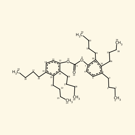 CCCCc1ccc(OC(=O)Oc2ccc(CCCC)c(CCCC)c2CCCC)c(CCCC)c1CCCC